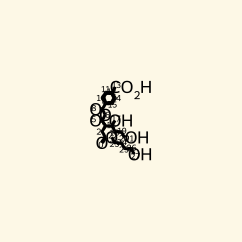 O=C(CC(C(=O)OC(=O)c1ccc(C(=O)O)cc1)C(O)CCCO)OCCCCO